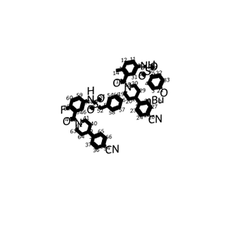 CCCCOc1ccc(S(=O)(=O)Nc2ccc(C)c(C(=O)N3CCC(c4ccc(C#N)cc4)CC3)c2)cc1.N#Cc1ccc(C2CCN(C(=O)c3cc(NS(=O)(=O)Cc4ccccc4)ccc3F)CC2)cc1